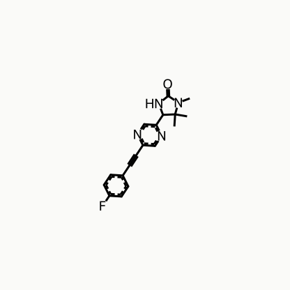 CN1C(=O)NC(c2cnc(C#Cc3ccc(F)cc3)cn2)C1(C)C